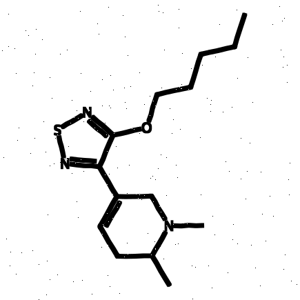 CCCCCOc1nsnc1C1=CCC(C)N(C)C1